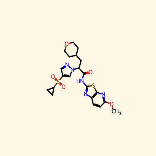 COc1ccc2nc(NC(=O)C(CC3CCOCC3)n3cc(S(=O)(=O)C4CC4)cn3)sc2n1